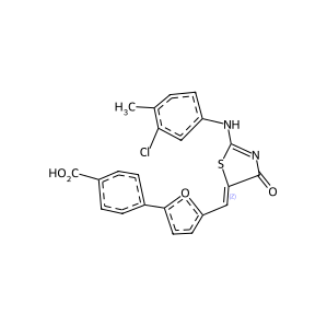 Cc1ccc(NC2=NC(=O)/C(=C/c3ccc(-c4ccc(C(=O)O)cc4)o3)S2)cc1Cl